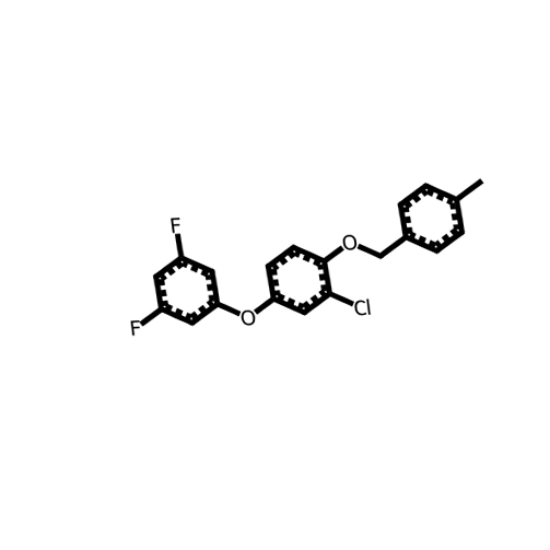 Cc1ccc(COc2ccc(Oc3cc(F)cc(F)c3)cc2Cl)cc1